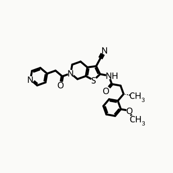 COc1ccccc1[C@@H](C)CC(=O)Nc1sc2c(c1C#N)CCN(C(=O)Cc1ccncc1)C2